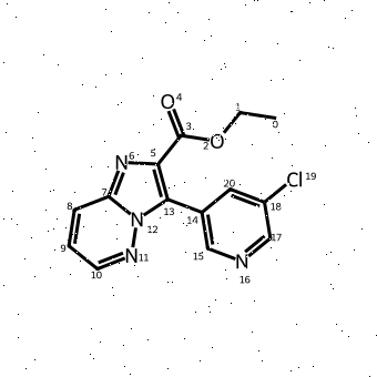 CCOC(=O)c1nc2cccnn2c1-c1cncc(Cl)c1